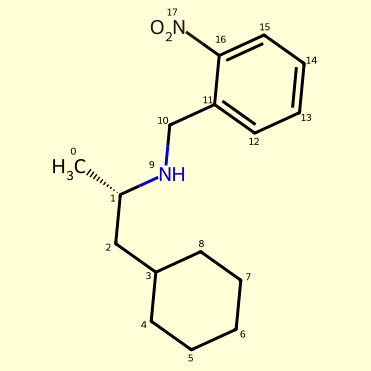 C[C@@H](CC1CCCCC1)NCc1ccccc1[N+](=O)[O-]